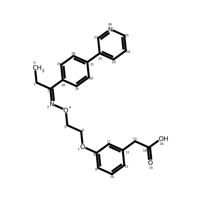 CCC(=NOCCOc1cccc(CC(=O)O)c1)c1ccc(-c2cccnc2)cc1